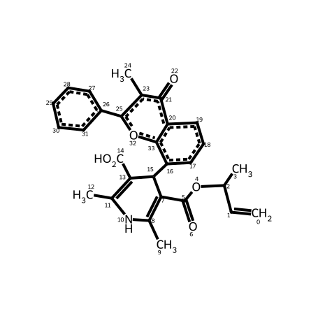 C=CC(C)OC(=O)C1=C(C)NC(C)=C(C(=O)O)C1c1cccc2c(=O)c(C)c(-c3ccccc3)oc12